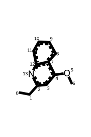 CCc1cc(OC)c2ccccc2n1